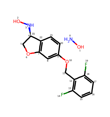 NO.ON[C@@H]1COc2cc(OCc3c(F)cccc3F)ccc21